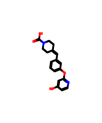 O=C(O)N1CCC(=Cc2cccc(Oc3cc(O)ccn3)c2)CC1